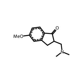 COc1ccc2c(c1)CC(CN(C)C)C2=O